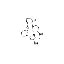 CC(NC1CCN(c2c(F)cccc2Cl)CC1)c1nn(C2CCCCO2)cc1N